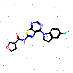 O=C(Nc1nc2c(N3CCc4cc(F)ccc43)ncnc2s1)C1CCOC1